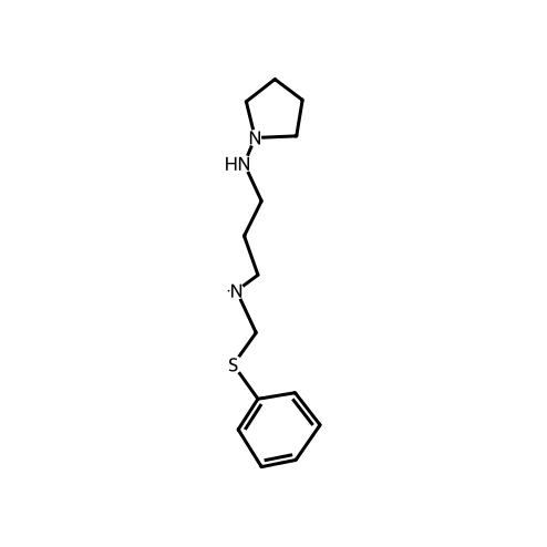 c1ccc(SC[N]CCCNN2CCCC2)cc1